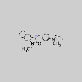 CCN1C(=O)/C(=C\c2ccc(N(C)C)cc2)c2cc3c(cc21)CCO3